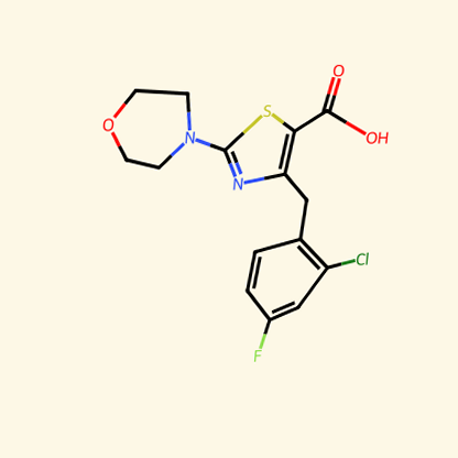 O=C(O)c1sc(N2CCOCC2)nc1Cc1ccc(F)cc1Cl